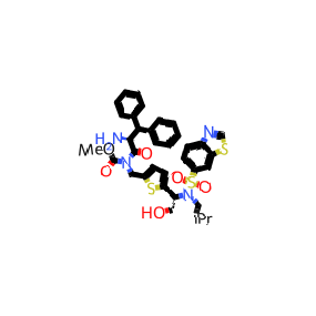 COC(=O)N(Cc1ccc([C@@H](CO)N(CC(C)C)S(=O)(=O)c2ccc3ncsc3c2)s1)C(=O)[C@@H](N)C(c1ccccc1)c1ccccc1